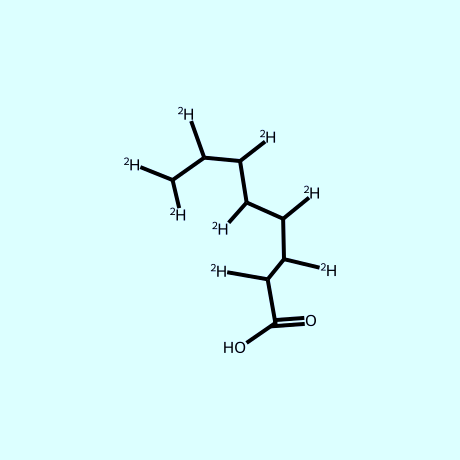 [2H]C([2H])C([2H])C([2H])C([2H])C([2H])C([2H])C([2H])C(=O)O